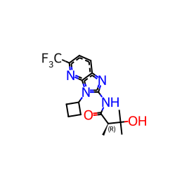 C[C@@H](C(=O)Nc1nc2ccc(C(F)(F)F)nc2n1C1CCC1)C(C)(C)O